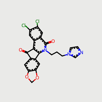 O=C1c2cc3c(cc2-c2c1c1cc(Cl)c(Cl)cc1c(=O)n2CCCn1ccnc1)OCO3